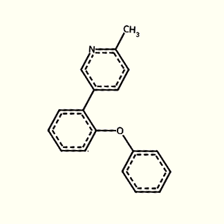 Cc1ccc(-c2ccc[c]c2Oc2ccccc2)cn1